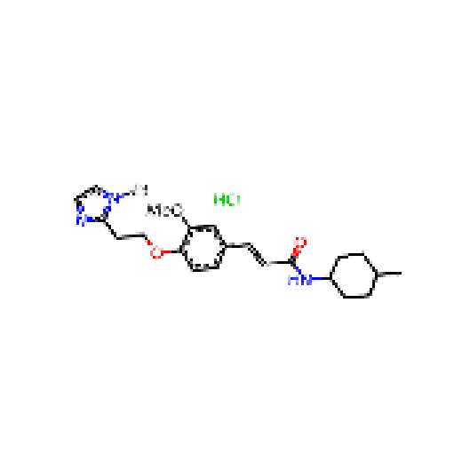 CCn1ccnc1CCOc1ccc(C=CC(=O)NC2CCC(C)CC2)cc1OC.Cl